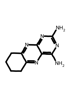 Nc1nc(N)c2nc3c(nc2n1)CCCC3